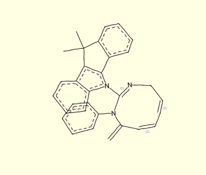 C=C1/C=C\C=C/C/N=C(/n2c3c(c4ccccc42)C(C)(C)c2ccccc2-3)N1c1ccccc1